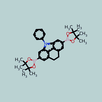 CC1(C)OB(c2cc3c4c5c(cc(B6OC(C)(C)C(C)(C)O6)cc5n(-c5ccccc5)c4c2)CC3)OC1(C)C